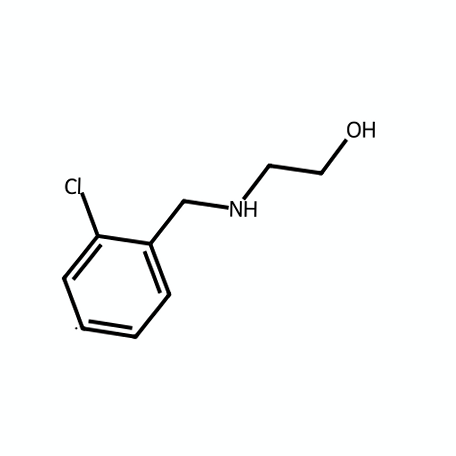 OCCNCc1cc[c]cc1Cl